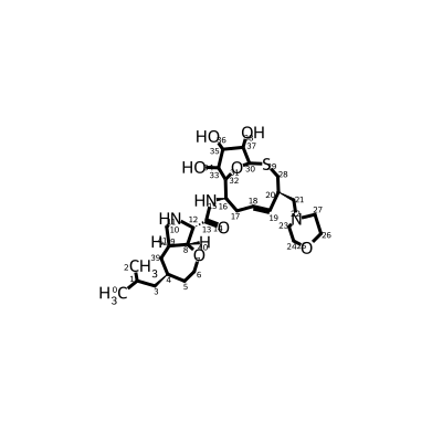 CC(C)C[C@@H]1CCO[C@@H]2[C@H](CN[C@@H]2C(=O)N[C@@H]2C/C=C/[C@H](CN3CCOCC3)CSC3OC2C(O)C(O)C3O)C1